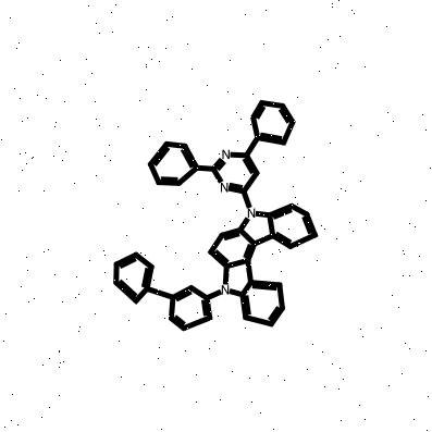 c1ccc(-c2cccc(-n3c4ccccc4c4c5c6ccccc6n(-c6cc(-c7ccccc7)nc(-c7ccccc7)n6)c5ccc43)c2)cc1